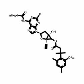 C#C[C@]12O[C@@H](n3cnc4c(NC(=O)CCCCCCC)nc(F)nc43)C[C@@]1(O)C2OC(=O)CC(C)(C)c1c(C)cc(C)cc1OC(C)=O